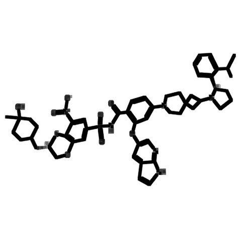 CC(C)c1ccccc1[C@H]1CCCN1C1CC2(CCN(c3ccc(C(=O)NS(=O)(=O)c4cc5c(c([N+](=O)[O-])c4)S[C@@H](CC4CCC(C)(O)CC4)CO5)c(Oc4cnc5[nH]ccc5c4)c3)CC2)C1